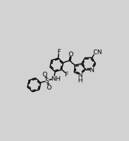 N#Cc1cnc2[nH]cc(C(=O)c3c(F)ccc(NS(=O)(=O)c4ccccc4)c3F)c2c1